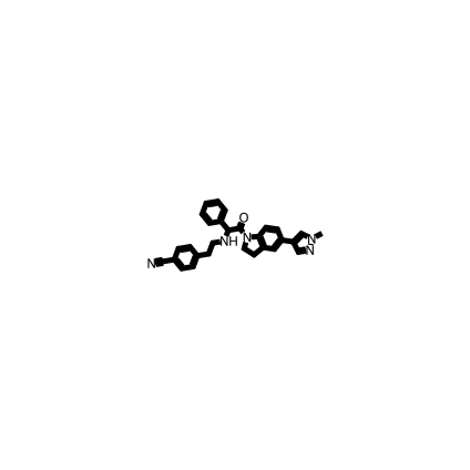 Cn1cc(-c2ccc3c(c2)CCN3C(=O)C(NCCc2ccc(C#N)cc2)c2ccccc2)cn1